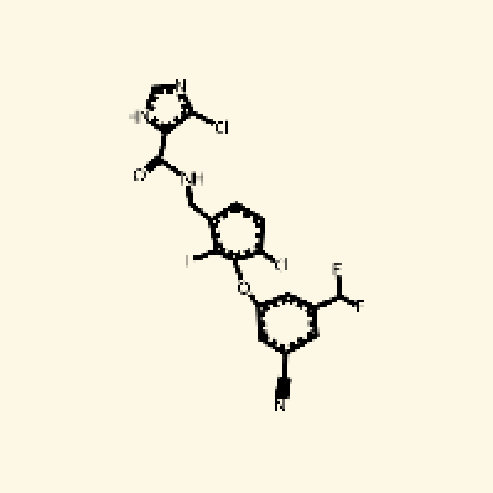 N#Cc1cc(Oc2c(Cl)ccc(CNC(=O)c3[nH]cnc3Cl)c2F)cc(C(F)F)c1